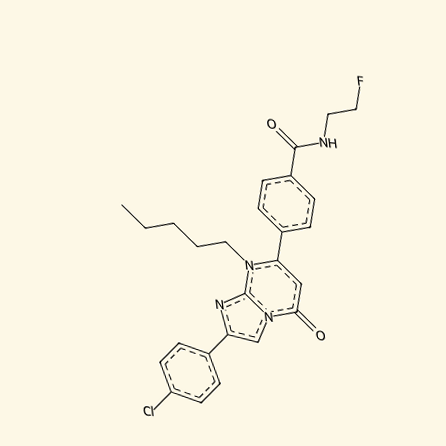 CCCCCn1c(-c2ccc(C(=O)NCCF)cc2)cc(=O)n2cc(-c3ccc(Cl)cc3)nc12